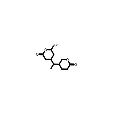 CC(C)C1CC(C(C)C2CCC(=O)OC2)CC(=O)O1